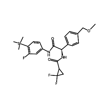 COCc1ccc([C@@H](NC(=O)C2CC2(F)F)C(=O)Nc2ccc([Si](C)(C)C)c(F)c2)cc1